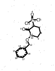 O=C1C(P(=O)(Cl)Cl)CCCN1OCc1ccccc1